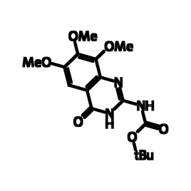 COc1cc2c(=O)[nH]c(NC(=O)OC(C)(C)C)nc2c(OC)c1OC